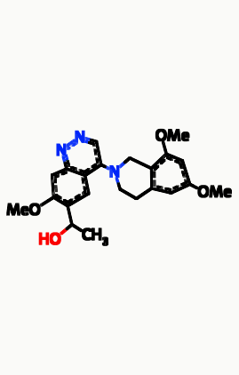 COc1cc2c(c(OC)c1)CN(c1cnnc3cc(OC)c(C(C)O)cc13)CC2